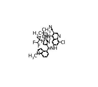 Cn1ccc2c([C@H](Nc3cc(Cl)c4ncc(C#N)c(NCC(C)(C)C)c4c3)c3cn(C4(C(F)F)CC4)nn3)cccc21